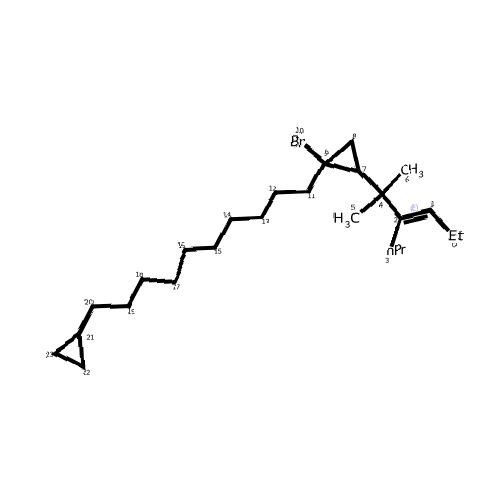 CC/C=C(\CCC)C(C)(C)C1CC1(Br)CCCCCCCCCCC1CC1